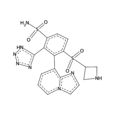 NS(=O)(=O)c1ccc(S(=O)(=O)C2CNC2)c(-c2cccn3ccnc23)c1-c1nnn[nH]1